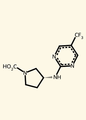 O=C(O)N1CC[C@@H](Nc2ncc(C(F)(F)F)cn2)C1